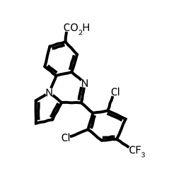 O=C(O)c1ccc2c(c1)nc(-c1c(Cl)cc(C(F)(F)F)cc1Cl)c1cccn12